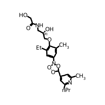 CCCc1cc(C2OON(c3cc(C)c(OC[C@H](O)CNC(=O)CO)c(CC)c3)O2)cc(C)n1